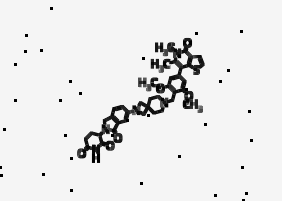 COc1cc(-c2c(C)n(C)c(=O)c3ccsc23)cc(OC)c1CN1CCC2(CC1)CN(c1ccc3c(c1)C(=O)N(C1CCC(=O)NC1=O)C3)C2